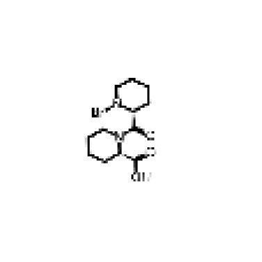 O=C(O)[C@H]1CCCCN1C(=O)[C@@H]1CCCCN1Br